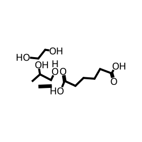 C=C.CC(O)CO.O=C(O)CCCCC(=O)O.OCCO